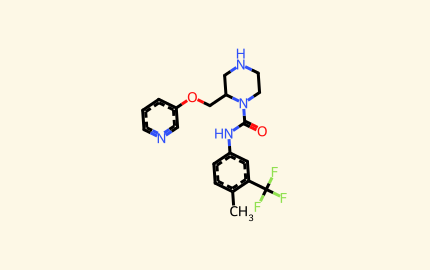 Cc1ccc(NC(=O)N2CCNCC2COc2cccnc2)cc1C(F)(F)F